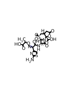 C[C@@H](O/N=C(\C(=O)N[C@@H]1C(=O)N2[C@@H]1S(=O)(=O)C[C@@H]1CC(=O)O[C@@]12C(=O)O)c1csc(N)n1)C(=O)O